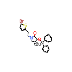 CC(C)(C)[Si](OC1CCN(CCc2ccc(Br)s2)C1=O)(c1ccccc1)c1ccccc1